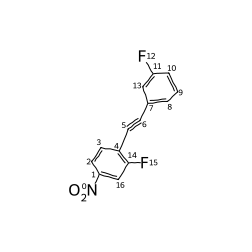 O=[N+]([O-])c1ccc(C#Cc2cccc(F)c2)c(F)c1